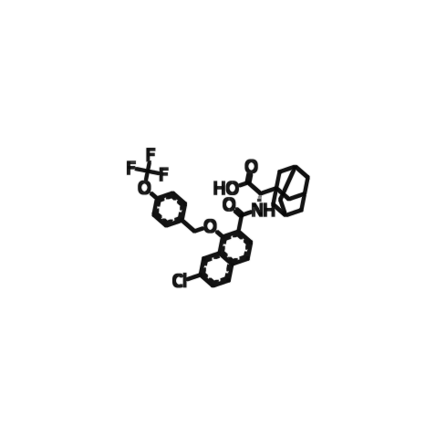 O=C(N[C@H](C(=O)O)C12CC3CC(CC(C3)C1)C2)c1ccc2ccc(Cl)cc2c1OCc1ccc(OC(F)(F)F)cc1